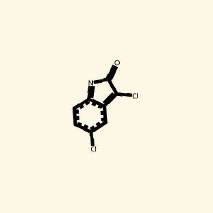 O=C1N=c2ccc(Cl)cc2=C1Cl